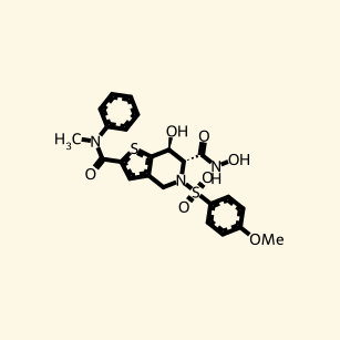 COc1ccc(S(=O)(=O)N2Cc3cc(C(=O)N(C)c4ccccc4)sc3[C@@H](O)[C@@H]2C(=O)NO)cc1